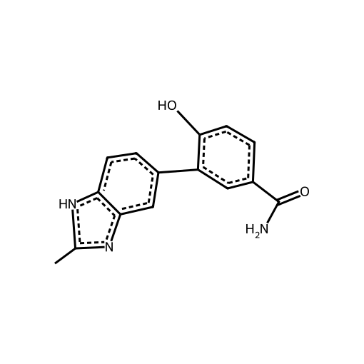 Cc1nc2cc(-c3cc(C(N)=O)ccc3O)ccc2[nH]1